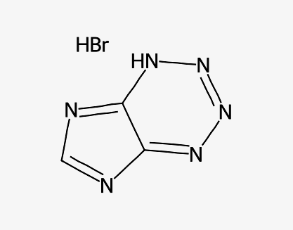 Br.c1nc2nnn[nH]c-2n1